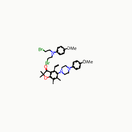 C=Cc1c2c(c(C)c(C)c1N1CCN(c3ccc(OC)cc3)CC1)OC(C)(C)C2=O.COc1ccc(N(CCBr)CCBr)cc1